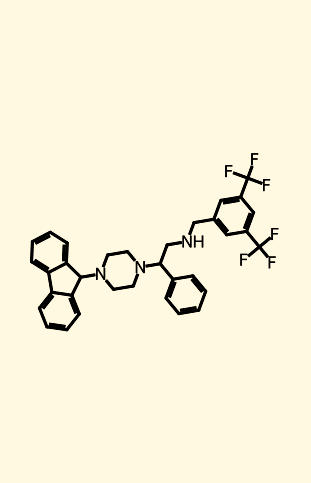 FC(F)(F)c1cc(CNCC(c2ccccc2)N2CCN(C3c4ccccc4-c4ccccc43)CC2)cc(C(F)(F)F)c1